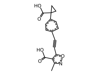 Cc1noc(C#Cc2ccc(C3(C(=O)O)CC3)cc2)c1C(=O)O